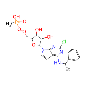 CCC(Nc1nc(Cl)nc2c1ccn2[C@@H]1O[C@H](COOP(C)(=O)O)[C@@H](O)[C@H]1O)c1ccccc1